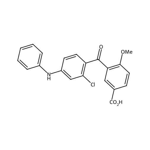 COc1ccc(C(=O)O)cc1C(=O)c1ccc(Nc2ccccc2)cc1Cl